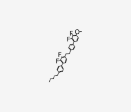 CCCCCc1ccc(-c2ccc(CCc3ccc(-c4ccc(OC)c(F)c4F)cc3)c(F)c2F)cc1